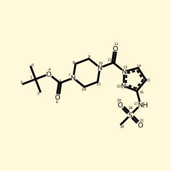 CC(C)(C)OC(=O)N1CCN(C(=O)n2ccc(NS(C)(=O)=O)n2)CC1